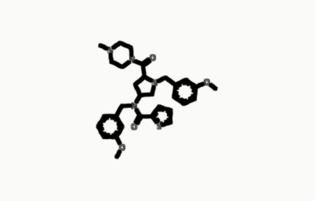 COc1cccc(CN2CC(N(Cc3cccc(OC)c3)C(=O)c3cccs3)CC2C(=O)N2CCN(C)CC2)c1